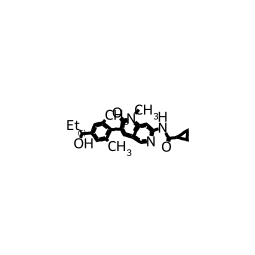 CC[C@H](O)c1cc(C)c(-c2cc3cnc(NC(=O)C4CC4)cc3n(C)c2=O)c(C)c1